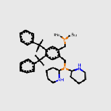 CC(C)(c1ccccc1)c1cc(CP(C2CCCCN2)C2CCCCN2)c(CP(C(C)(C)C)C(C)(C)C)cc1C(C)(C)c1ccccc1